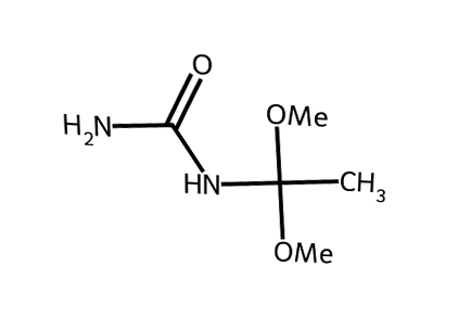 COC(C)(NC(N)=O)OC